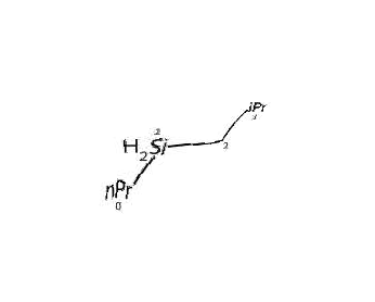 CCC[SiH2]CC(C)C